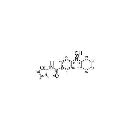 O=C(Nc1ccco1)c1ccc(N(O)C2CCCCC2)cc1